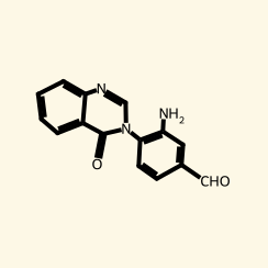 Nc1cc(C=O)ccc1-n1cnc2ccccc2c1=O